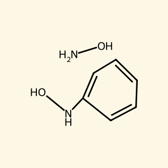 NO.ONc1ccccc1